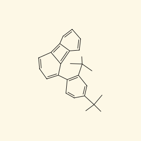 CC(C)(C)c1ccc(-c2cccc3c2=c2ccccc2=3)c(C(C)(C)C)c1